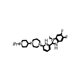 CC(C)N1CCC(N2CCCN(C3C=CC=C(C4Nc5cc(F)c(F)cc5N4I)N3)CC2)CC1